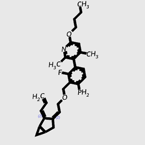 C=C/C=C1\C(=C/COCc2c(P)ccc(-c3c(C)cc(OCCCC)nc3C)c2F)CC2CC12